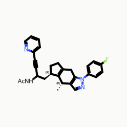 CC(=O)NC(C#Cc1ccccn1)C[C@H]1CCC2=C1[C@@H](C)c1cnn(-c3ccc(F)cc3)c1C2